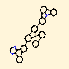 c1ccc2c(c1)-c1ccccc1C21c2cc(-c3ccc4c5ccccc5c5nccnc5c4c3)ccc2-c2ccc(-c3ccc4c(c3)c3cccc5c6ccccc6n4c53)cc21